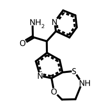 NC(=O)C(c1cnc2c(c1)SNCCO2)c1ccccn1